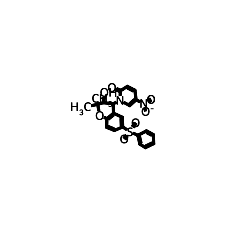 CC1(C)Oc2ccc(S(=O)(=O)c3ccccc3)cc2C(n2cc([N+](=O)[O-])ccc2=O)C1O